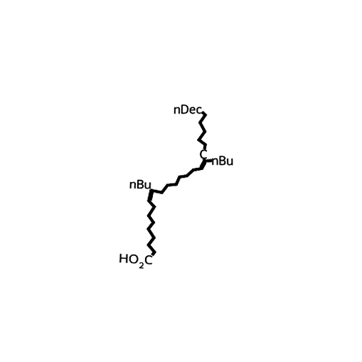 CCCCCCCCCCCCCCCC/C(=C\CCCCCC/C(=C\CCCCCCCC(=O)O)CCCC)CCCC